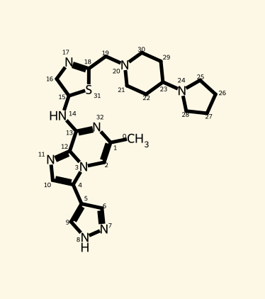 Cc1cn2c(-c3cn[nH]c3)cnc2c(NC2CN=C(CN3CCC(N4CCCC4)CC3)S2)n1